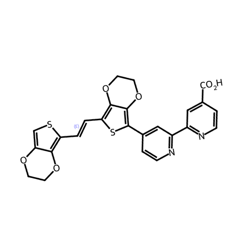 O=C(O)c1ccnc(-c2cc(-c3sc(/C=C/c4scc5c4OCCO5)c4c3OCCO4)ccn2)c1